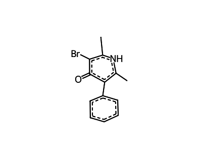 Cc1[nH]c(C)c(-c2ccccc2)c(=O)c1Br